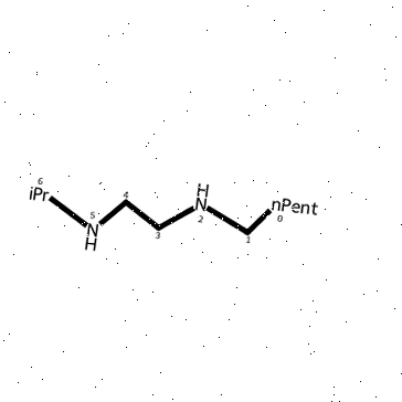 CCCCCCNCCNC(C)C